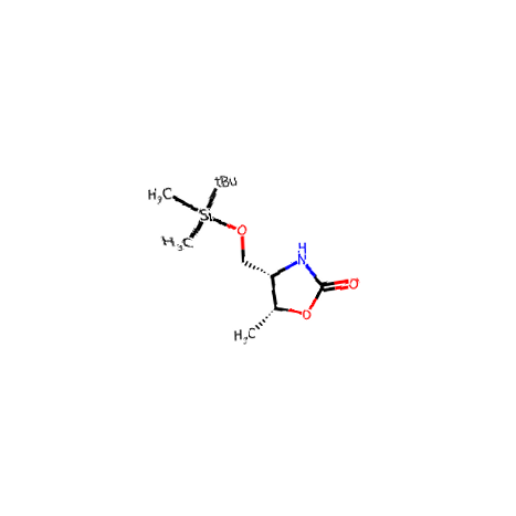 C[C@H]1OC(=O)N[C@H]1CO[Si](C)(C)C(C)(C)C